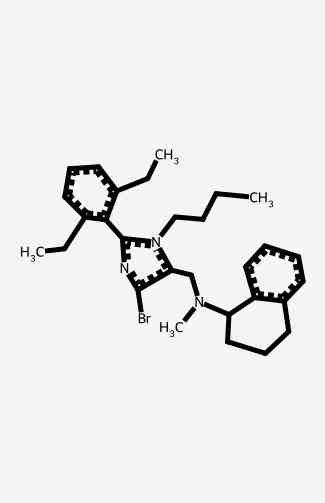 CCCCn1c(-c2c(CC)cccc2CC)nc(Br)c1CN(C)C1CCCc2ccccc21